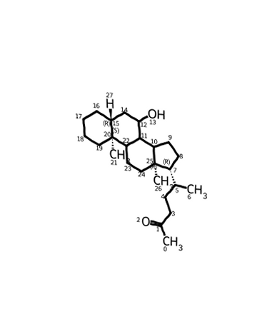 CC(=O)CCC(C)[C@H]1CCC2C3C(O)C[C@H]4CCCC[C@]4(C)C3CC[C@@]21C